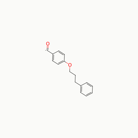 O=[C]c1ccc(OCCCc2ccccc2)cc1